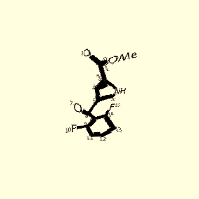 COC(=O)c1cc(C(=O)c2c(F)cccc2F)c[nH]1